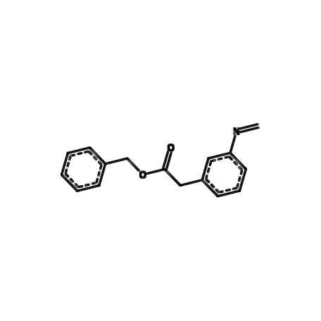 C=Nc1cccc(CC(=O)OCc2ccccc2)c1